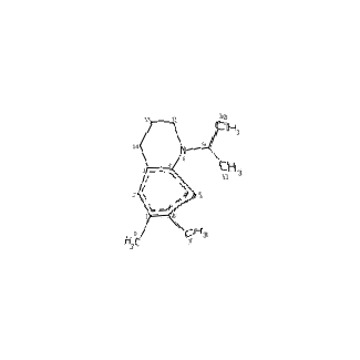 Cc1cc2c(cc1C)N(C(C)C)CCC2